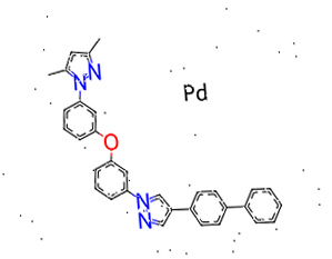 Cc1cc(C)n(-c2cccc(Oc3cccc(-n4cc(-c5ccc(-c6ccccc6)cc5)cn4)c3)c2)n1.[Pd]